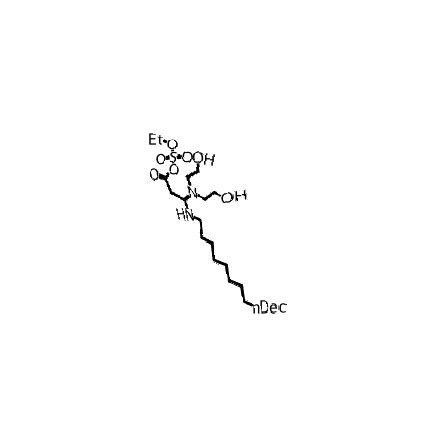 CCCCCCCCCCCCCCCCCCNC(CC(=O)OS(=O)(=O)OCC)N(CCO)CCO